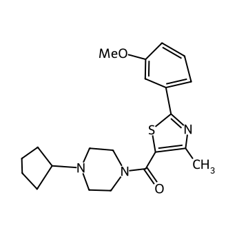 COc1cccc(-c2nc(C)c(C(=O)N3CCN(C4CCCC4)CC3)s2)c1